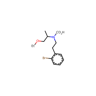 CCOCC(C)N(CCc1ccccc1Br)C(=O)O